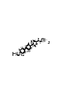 C=CCc1cnc(-c2ccc(C3CCC(O)CC3)cc2)nc1